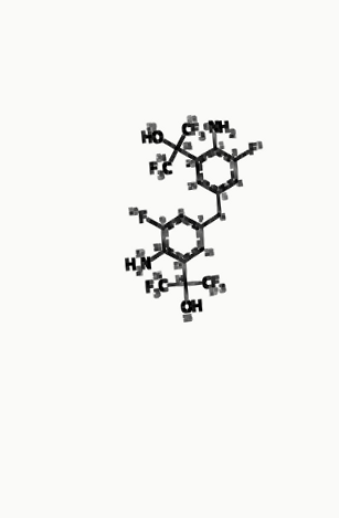 Nc1c(F)cc(Cc2cc(F)c(N)c(C(O)(C(F)(F)F)C(F)(F)F)c2)cc1C(O)(C(F)(F)F)C(F)(F)F